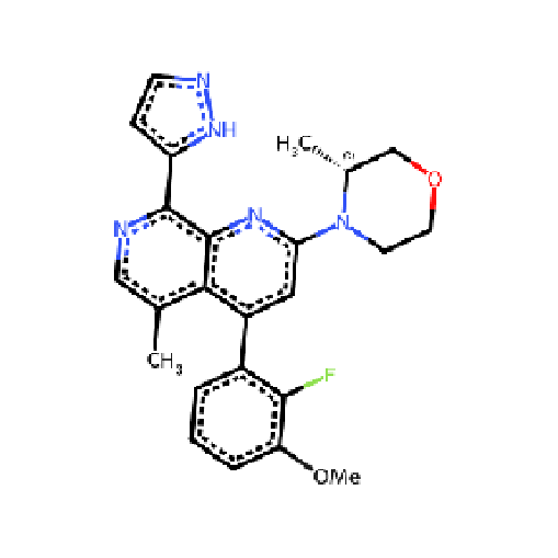 COc1cccc(-c2cc(N3CCOC[C@H]3C)nc3c(-c4ccn[nH]4)ncc(C)c23)c1F